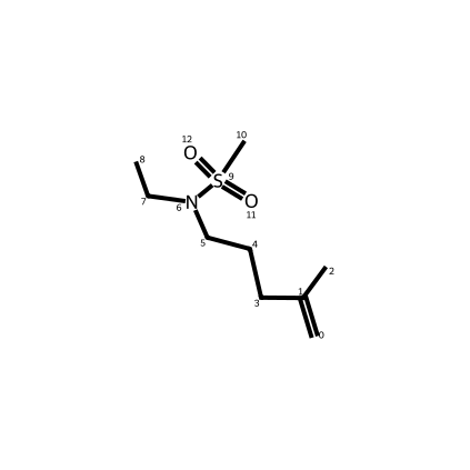 C=C(C)CCCN(CC)S(C)(=O)=O